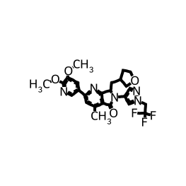 COc1cc(-c2cc(C)c3c(n2)C(CC2CCOC2)N(c2cnn(CC(F)(F)F)c2)C3=O)cnc1OC